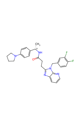 C[C@H](NC(=O)CCc1nc2cccnc2n1Cc1ccc(F)c(F)c1)c1ccc(N2CCCC2)cc1